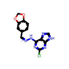 Clc1nc(N/N=C\c2ccc3c(c2)OCO3)c2nc[nH]c2n1